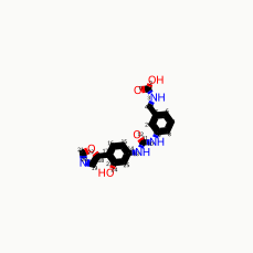 O=C(O)NCc1cccc(NC(=O)Nc2ccc(-c3cnco3)c(O)c2)c1